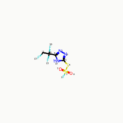 O=S(=O)(F)Sc1nnc(C(F)(F)CF)[nH]1